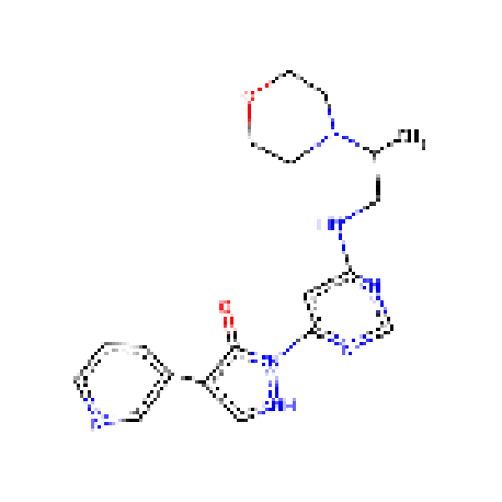 CC(CNc1cc(-n2[nH]cc(-c3cccnc3)c2=O)ncn1)N1CCOCC1